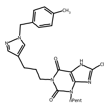 CCCCCn1c(=O)n(CCCc2cnn(Cc3ccc(C)cc3)c2)c(=O)c2[nH]c(Cl)nc21